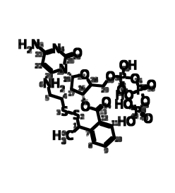 CC(SSCCN)c1ccccc1C(=O)O[C@@H]1C[C@H](n2ccc(N)nc2=O)OC1COP(=O)(O)OP(=O)(O)OP(=O)(O)O